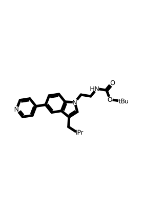 CC(C)Cc1cn(CCNC(=O)OC(C)(C)C)c2ccc(-c3ccncc3)cc12